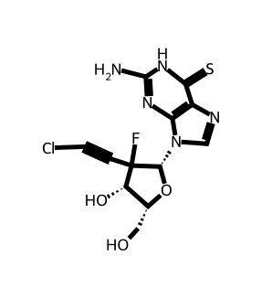 Nc1nc2c(ncn2[C@@H]2O[C@H](CO)[C@H](O)C2(F)C#CCl)c(=S)[nH]1